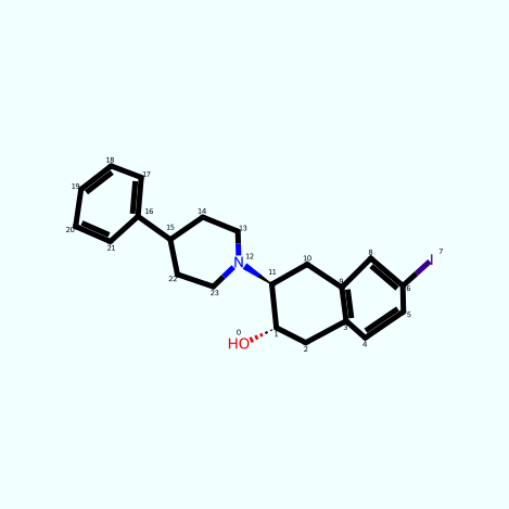 O[C@H]1Cc2ccc(I)cc2C[C@@H]1N1CCC(c2ccccc2)CC1